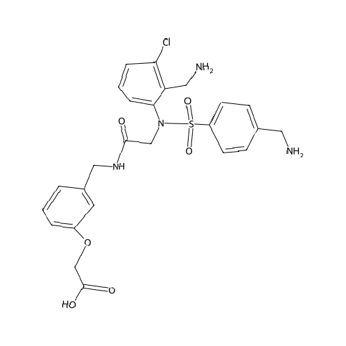 NCc1ccc(S(=O)(=O)N(CC(=O)NCc2cccc(OCC(=O)O)c2)c2cccc(Cl)c2CN)cc1